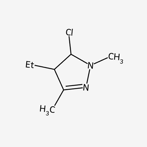 CCC1C(C)=NN(C)C1Cl